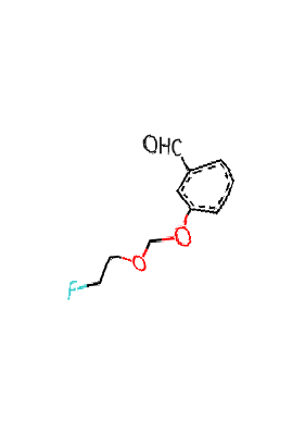 O=Cc1cccc(OCOCCF)c1